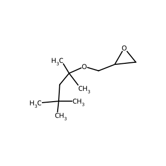 CC(C)(C)CC(C)(C)OCC1CO1